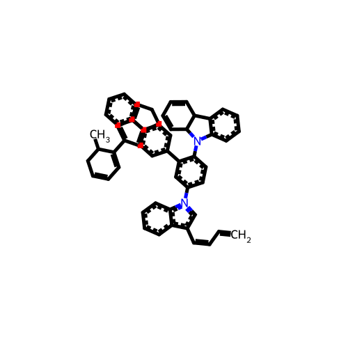 C=C/C=C\c1cn(-c2ccc(N3c4ccccc4C4C=CC=CC43)c(-c3ccc(C4=C\CC/C(c5ccccc5)=C/C(C5=CC=CCC5C)=C\4)cc3)c2)c2ccccc12